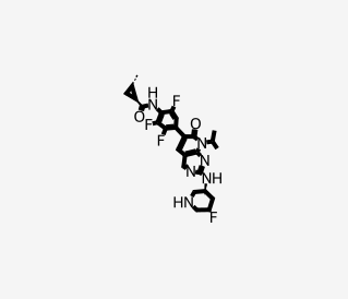 CC(C)n1c(=O)c(-c2cc(F)c(NC(=O)[C@H]3C[C@@H]3C)c(F)c2F)cc2cnc(N[C@@H]3CNC[C@@H](F)C3)nc21